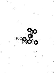 FC(F)(F)c1ccc2c3c([nH]c2c1)CCC(Nc1ccccc1)C3c1ccccc1.c1ccc2c3c([nH]c2c1)CCCC3